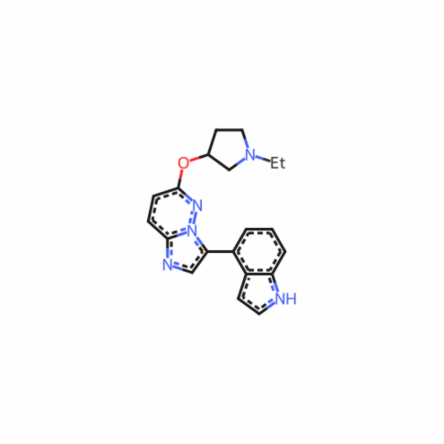 CCN1CCC(Oc2ccc3ncc(-c4cccc5[nH]ccc45)n3n2)C1